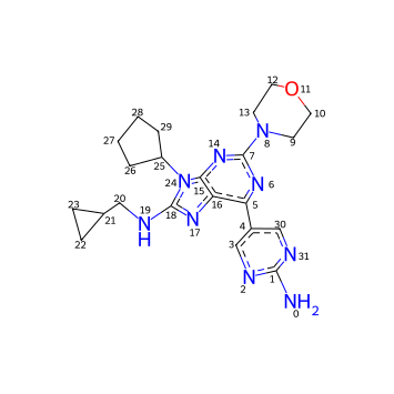 Nc1ncc(-c2nc(N3CCOCC3)nc3c2nc(NCC2CC2)n3C2CCCC2)cn1